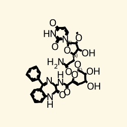 COC1C(O)[C@@H](C(O[C@H]2OC(C(=O)NC3N=C(c4ccccc4)c4ccccc4NC3=O)=CC(O)C2O)C(N)=O)O[C@H]1n1ccc(=O)[nH]c1=O